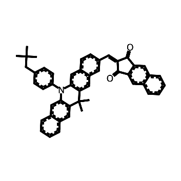 CC(C)(C)Cc1ccc(N2c3cc4ccccc4cc3C(C)(C)c3cc4cc(C=C5C(=O)c6cc7ccccc7cc6C5=O)ccc4cc32)cc1